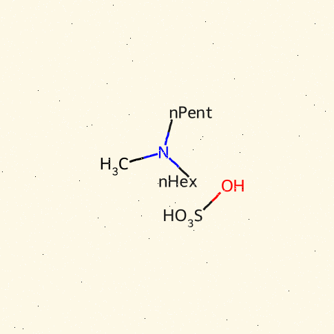 CCCCCCN(C)CCCCC.O=S(=O)(O)O